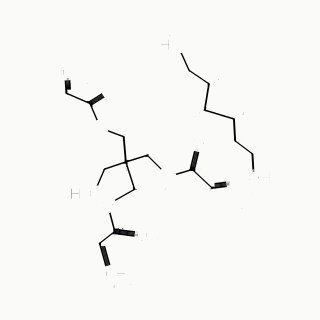 C=CC(=O)OCC(CC)(COC(=O)C=C)COC(=O)C=C.OCCCCCCO